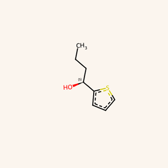 CCC[C@H](O)c1cccs1